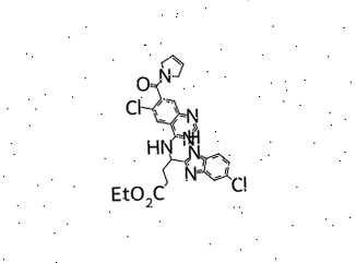 CCOC(=O)CCC(Nc1ncnc2cc(C(=O)N3CC=CC3)c(Cl)cc12)c1nc2cc(Cl)ccc2[nH]1